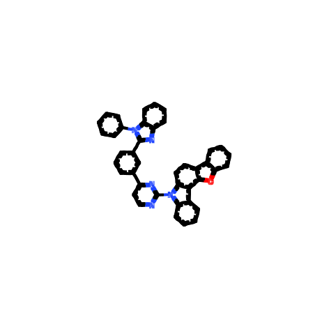 c1ccc(-n2c(-c3cccc(-c4ccnc(-n5c6ccccc6c6c7oc8ccccc8c7ccc65)n4)c3)nc3ccccc32)cc1